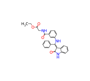 CCOC(=O)CNC(=O)c1cccc(NC(=C2C(=O)Nc3ccccc32)c2ccccc2)c1